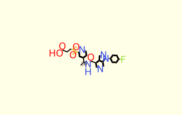 C[C@H](NC(=O)c1cncc2c1cnn2-c1ccc(F)cc1)c1ccnc(S(=O)(=O)CCC(=O)O)c1